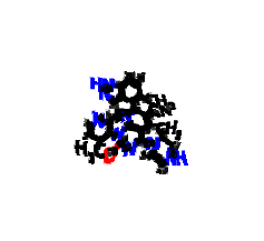 Cc1ccnc(C(C)C)c1-n1c(=O)nc(N2CCNC[C@@H]2C)c2cc(C#N)c(-c3c(C)ccc4[nH]ncc34)nc21